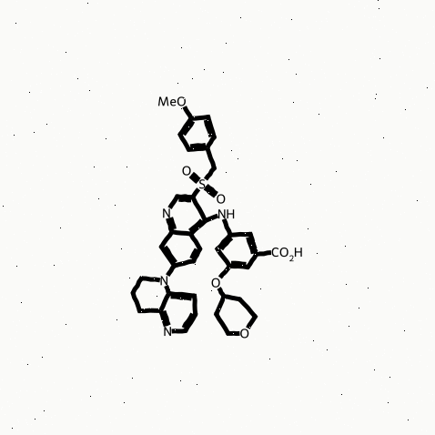 COc1ccc(CS(=O)(=O)c2cnc3cc(N4CCCc5ncccc54)ccc3c2Nc2cc(OC3CCOCC3)cc(C(=O)O)c2)cc1